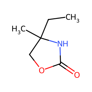 CCC1(C)COC(=O)N1